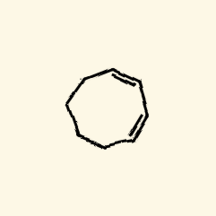 [CH]1/C=C\C=C/CCC1